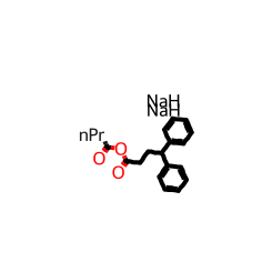 CCCC(=O)OC(=O)CCC(c1ccccc1)c1ccccc1.[NaH].[NaH]